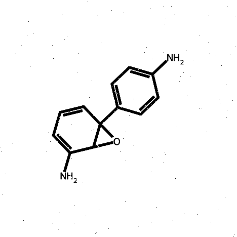 NC1=CC=CC2(c3ccc(N)cc3)OC12